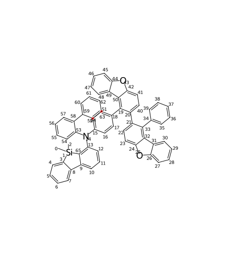 C[Si]1(C)c2ccccc2-c2cccc(N(c3ccc(-c4c(-c5ccc6oc7ccccc7c6c5-c5ccccc5)ccc5oc6ccccc6c45)cc3)c3ccccc3-c3ccccc3)c21